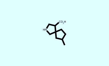 CC1CCC2(CNCC2C(=O)O)C1